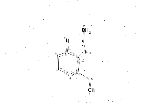 Bc1nc2cccc(CO)n2n1